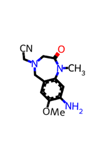 COc1cc2c(cc1N)N(C)C(=O)CN(CC#N)C2